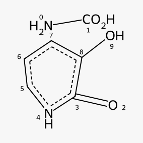 NC(=O)O.O=c1[nH]cccc1O